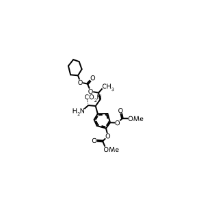 COC(=O)Oc1ccc(C(CC(C)OC(=O)OC2CCCCC2)[C@H](N)C(=O)O)cc1OC(=O)OC